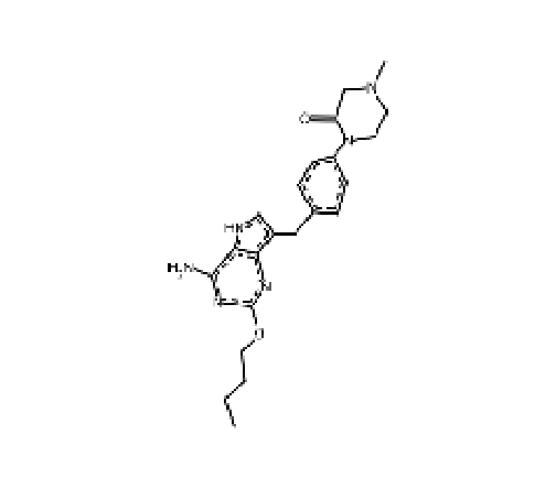 CCCCOc1nc(N)c2[nH]cc(Cc3ccc(N4CCN(C)CC4=O)cc3)c2n1